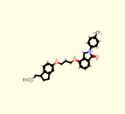 CCOC(=O)CC1CCc2cc(OCCCOc3cccc4c3CN(c3ccc(C(F)(F)F)cc3)C4=O)ccc21